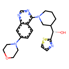 O[C@H](c1nccs1)C1CCCN(c2ncnc3cc(N4CCOCC4)ccc23)C1